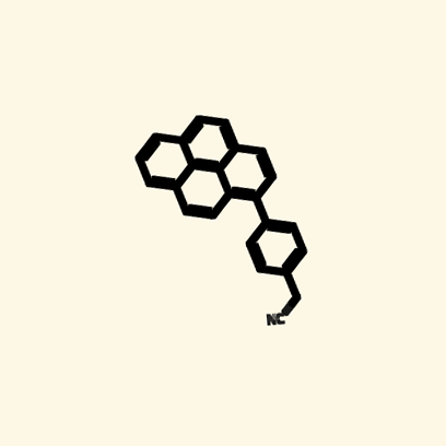 N#CCc1ccc(-c2ccc3ccc4cccc5ccc2c3c45)cc1